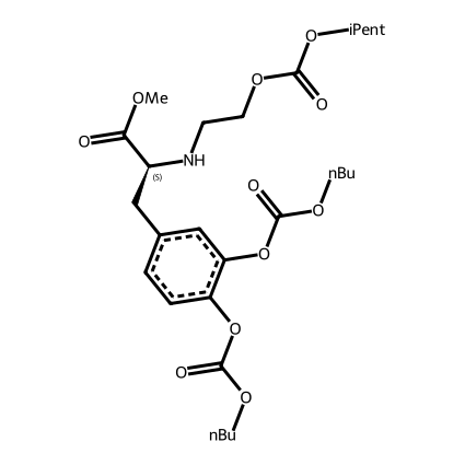 CCCCOC(=O)Oc1ccc(C[C@H](NCCOC(=O)OC(C)CCC)C(=O)OC)cc1OC(=O)OCCCC